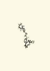 Clc1cncc(OCCCCOc2ccccc2)n1